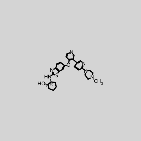 CN1CCN(c2ccc(-c3cnccc3Oc3ccc4nc(N[C@@H]5CCCC[C@H]5O)sc4c3)cn2)CC1